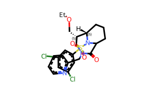 CCOC[C@H]1CN(Cc2ccccn2)C(=O)C2CCC[C@@H]1N2S(=O)(=O)c1cc(Cl)cc(Cl)c1